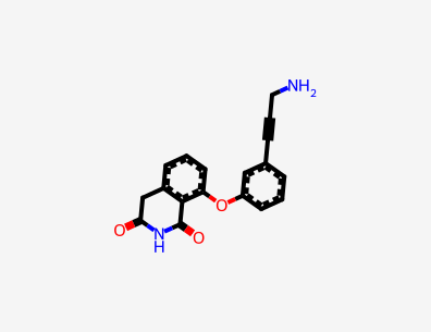 NCC#Cc1cccc(Oc2cccc3c2C(=O)NC(=O)C3)c1